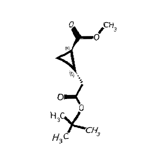 COC(=O)[C@@H]1C[C@H]1CC(=O)OC(C)(C)C